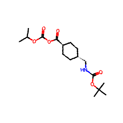 CC(C)OC(=O)OC(=O)[C@H]1CC[C@H](CNC(=O)OC(C)(C)C)CC1